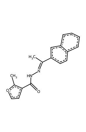 CC(=NNC(=O)c1ccoc1C)c1ccc2ccccc2c1